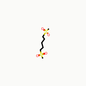 CS(=O)(=O)CCCCCS(C)(=O)=O